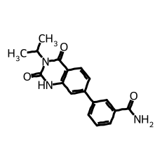 CC(C)n1c(=O)[nH]c2cc(-c3cccc(C(N)=O)c3)ccc2c1=O